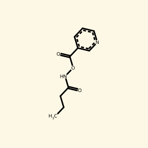 CCCC(=O)NOC(=O)c1cccnc1